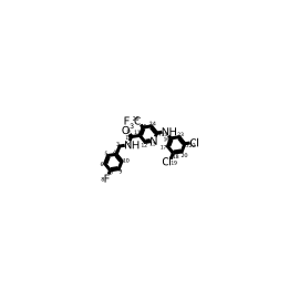 O=C(NCc1ccc(F)cc1)c1cnc(Nc2cc(Cl)cc(Cl)c2)cc1C(F)(F)F